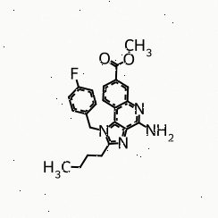 CCCCc1nc2c(N)nc3cc(C(=O)OC)ccc3c2n1Cc1ccc(F)cc1